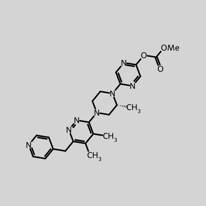 COC(=O)Oc1cnc(N2CCN(c3nnc(Cc4ccncc4)c(C)c3C)C[C@H]2C)cn1